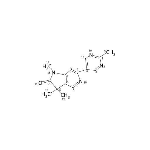 Cc1ncc(-c2cc3c(cn2)C(C)(C)C(=O)N3C)cn1